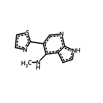 CNc1c(-c2nccs2)cnc2[nH]ccc12